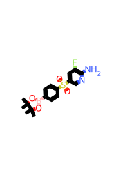 CC1(C)OB(c2ccc(S(=O)(=O)c3cnc(N)c(F)c3)cc2)OC1(C)C